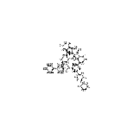 c1ccc(-c2ccc(-c3nc(-c4ccccc4)nc(-c4cccc5c4oc4c5ccc5c6ccccc6n(-c6ccc(-c7cccc(-c8ccccc8)c7)cc6)c54)n3)cc2)cc1